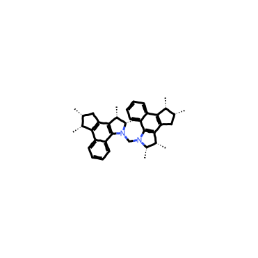 C[C@@H]1Cc2c3c(c4ccccc4c2[C@@H]1C)N(CN1c2c(c4c(c5ccccc25)[C@H](C)[C@H](C)C4)[C@H](C)[C@@H]1C)[C@@H](C)[C@H]3C